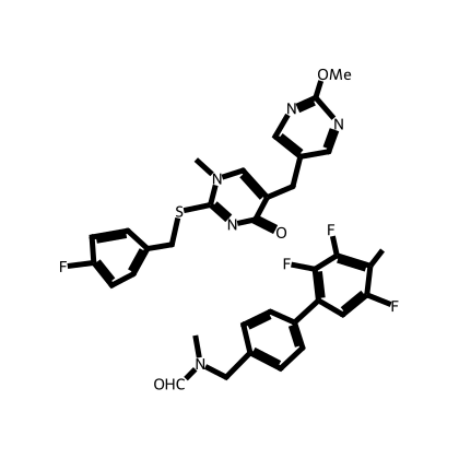 COc1ncc(Cc2cn(C)c(SCc3ccc(F)cc3)nc2=O)cn1.Cc1c(F)cc(-c2ccc(CN(C)C=O)cc2)c(F)c1F